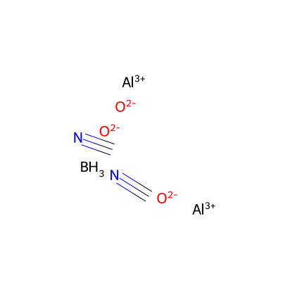 B.C#N.C#N.[Al+3].[Al+3].[O-2].[O-2].[O-2]